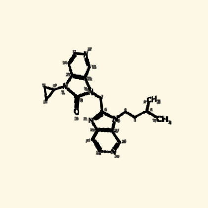 CC(C)CCn1c(Cn2c(=O)n(C3CC3)c3ccncc32)nc2ccncc21